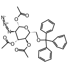 CC(=O)O[C@@H]1O[C@H](COC(c2ccccc2)(c2ccccc2)c2ccccc2)[C@@H](OC(C)=O)[C@H](OC(C)=O)[C@H]1N=[N+]=[N-]